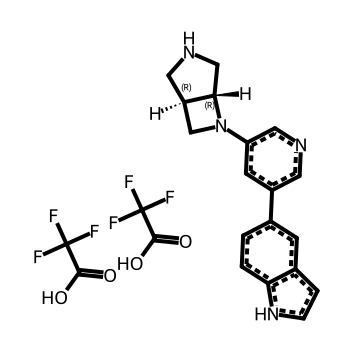 O=C(O)C(F)(F)F.O=C(O)C(F)(F)F.c1cc2cc(-c3cncc(N4C[C@H]5CNC[C@@H]54)c3)ccc2[nH]1